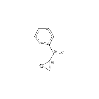 F[C@@H](c1ccccc1)[C@@H]1CO1